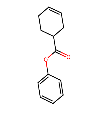 O=C(Oc1ccccc1)C1CC=CCC1